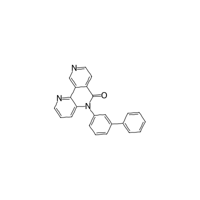 O=c1c2ccncc2c2ncccc2n1-c1cccc(-c2ccccc2)c1